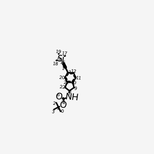 CC(C)(C)OC(=O)NC1Cc2ccc(C#C[Si](C)(C)C)cc2C1